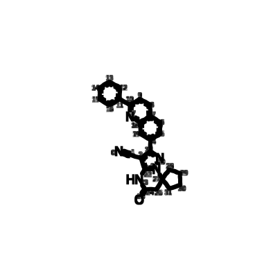 N#Cc1c(-c2ccc3ccc(-c4ccccc4)nc3c2)nn2c1NC(=O)CC21CCCC1